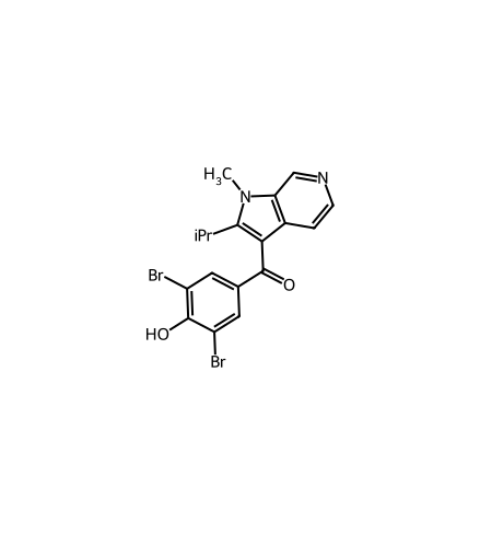 CC(C)c1c(C(=O)c2cc(Br)c(O)c(Br)c2)c2ccncc2n1C